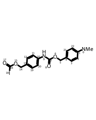 CNc1ccc(COC(=O)Nc2ccc(COC(=O)I)cc2)cc1